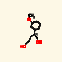 COc1cccc([C@@H](CO)CCCO)c1